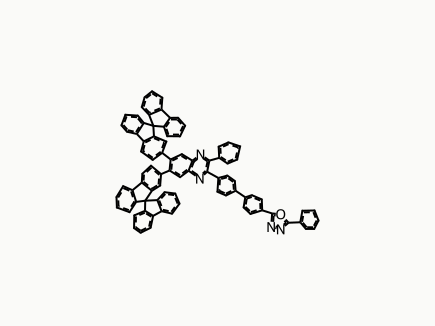 c1ccc(-c2nnc(-c3ccc(-c4ccc(-c5nc6cc(-c7ccc8c(c7)C7(c9ccccc9-c9ccccc97)c7ccccc7-8)c(-c7ccc8c(c7)C7(c9ccccc9-c9ccccc97)c7ccccc7-8)cc6nc5-c5ccccc5)cc4)cc3)o2)cc1